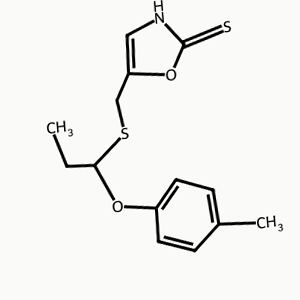 CCC(Oc1ccc(C)cc1)SCc1c[nH]c(=S)o1